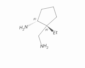 CC[C@]1(CN)CCC[C@H]1N